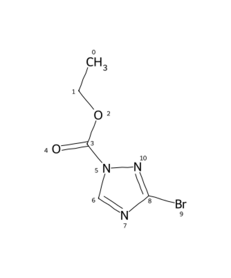 CCOC(=O)n1cnc(Br)n1